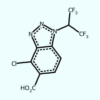 O=C(O)c1ccc2c(nnn2C(C(F)(F)F)C(F)(F)F)c1Cl